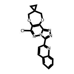 Clc1nn2c(-c3ccc4ccccc4n3)nnc2c2c1OCC1(CC1)CO2